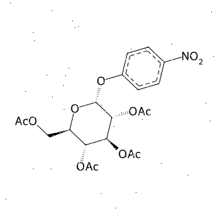 CC(=O)OC[C@H]1O[C@H](Oc2ccc([N+](=O)[O-])cc2)[C@H](OC(C)=O)[C@@H](OC(C)=O)[C@@H]1OC(C)=O